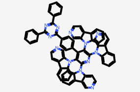 c1ccc(-c2nc(-c3ccccc3)nc(-c3ccc(-c4c(-n5c6ccccc6c6ccncc65)c(-n5c6ccccc6c6cnccc65)nc(-n5c6ccccc6c6ccncc65)c4-n4c5ccccc5c5ccncc54)cc3)n2)cc1